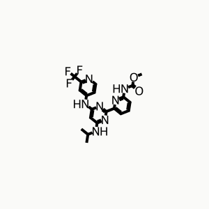 COC(=O)Nc1cccc(-c2nc(Nc3ccnc(C(F)(F)F)c3)cc(NC(C)C)n2)n1